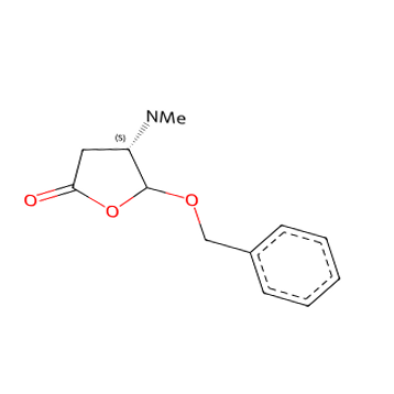 CN[C@H]1CC(=O)OC1OCc1ccccc1